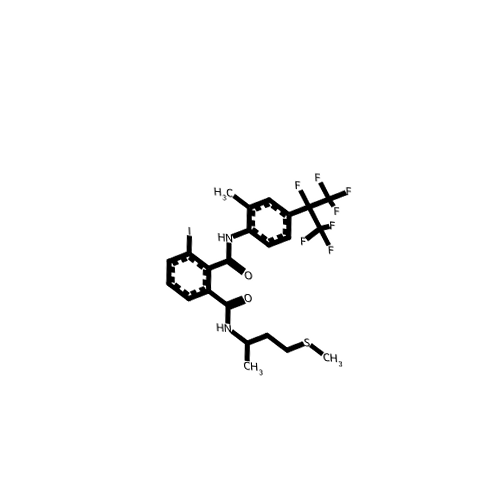 CSCCC(C)NC(=O)c1cccc(I)c1C(=O)Nc1ccc(C(F)(C(F)(F)F)C(F)(F)F)cc1C